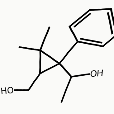 CC(O)C1(c2ccccc2)C(CO)C1(C)C